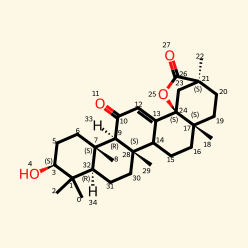 CC1(C)[C@@H](O)CC[C@]2(C)[C@H]3C(=O)C=C4C(CC[C@@]5(C)CC[C@@]6(C)C[C@@]45OC6=O)[C@]3(C)CC[C@@H]12